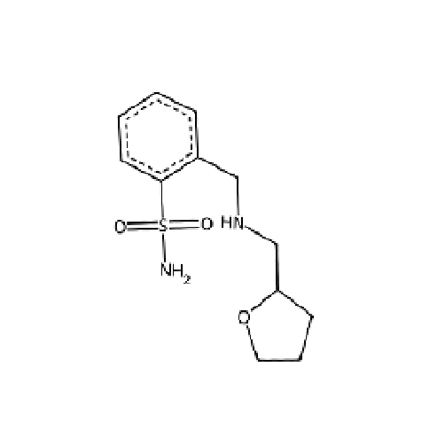 NS(=O)(=O)c1ccccc1CNCC1CCCO1